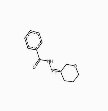 O=C(N/N=C1/CCCOC1)c1ccccc1